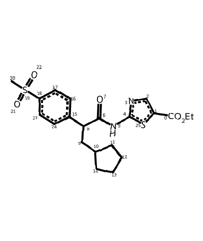 CCOC(=O)c1cnc(NC(=O)C(CC2CCCC2)c2ccc(S(C)(=O)=O)cc2)s1